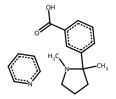 CN1CCCC1(C)c1cccc(C(=O)O)c1.c1ccncc1